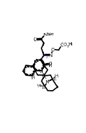 CNC(=O)CC/C(=N\OCC(=O)O)c1nc2ccccc2n([C@H]2C[C@H]3CCC[C@@H](C2)N3[C@H]2C[C@@H]3CCC[C@@H](C3)C2)c1=O